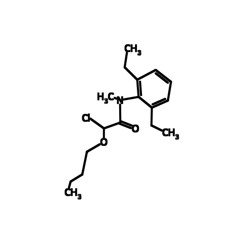 CCCCOC(Cl)C(=O)N(C)c1c(CC)cccc1CC